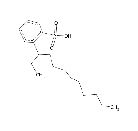 CCCCCCCCCC(CC)c1ccccc1S(=O)(=O)O